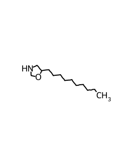 CCCCCCCCCCC1CNCO1